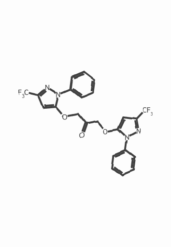 O=C(COc1cc(C(F)(F)F)nn1-c1ccccc1)COc1cc(C(F)(F)F)nn1-c1ccccc1